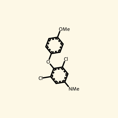 CNc1cc(Cl)c(Oc2ccc(OC)cc2)c(Cl)c1